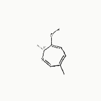 CC1=CC=C(OI)[C@@H](C)N=C1